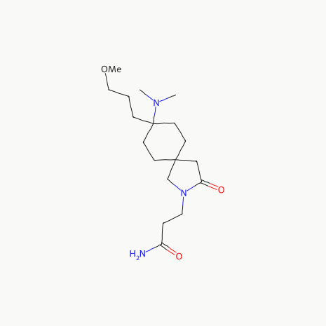 COCCCC1(N(C)C)CCC2(CC1)CC(=O)N(CCC(N)=O)C2